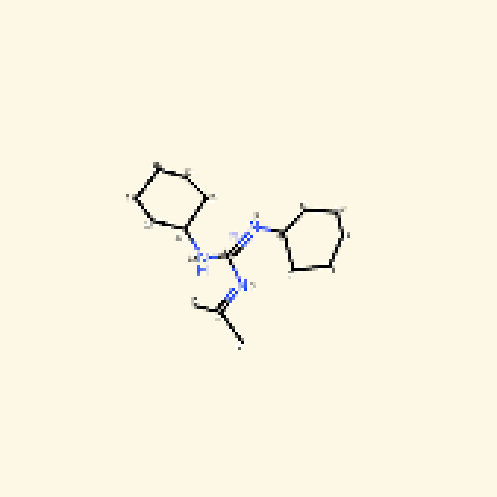 CC(C)=N/C(=N\C1CCCCC1)NC1CCCCC1